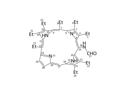 CCC1=C(CC)c2nc1c(CC)c1[nH]c(c(CC)c3nc(cc4[nH]c(c(CC)c4CC)c2NC=O)C=C3)c(CC)c1CC